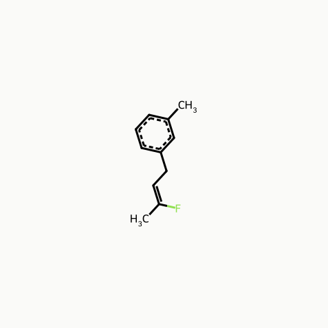 C/C(F)=C/Cc1cccc(C)c1